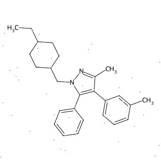 CCC1CCC(Cn2nc(C)c(-c3cccc(C)c3)c2-c2ccccc2)CC1